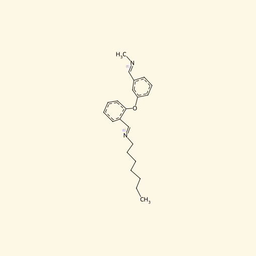 CCCCCCC/N=C/c1ccccc1Oc1cccc(/C=N/C)c1